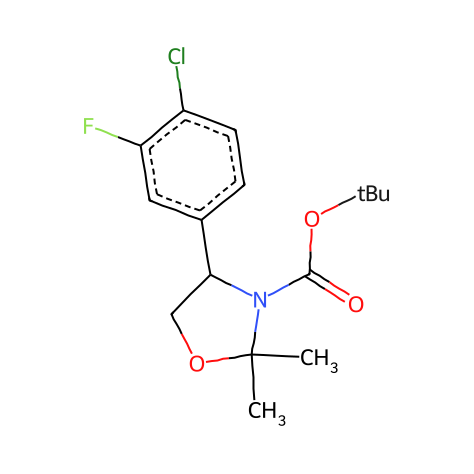 CC(C)(C)OC(=O)N1C(c2ccc(Cl)c(F)c2)COC1(C)C